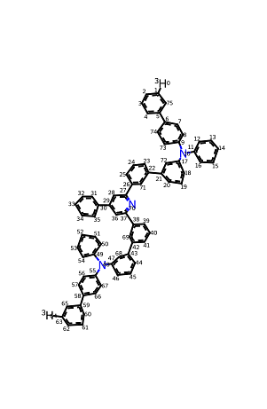 [3H]c1cccc(-c2ccc(N(c3ccccc3)c3cccc(-c4cccc(-c5cc(-c6ccccc6)cc(-c6cccc(-c7cccc(N(c8ccccc8)c8ccc(-c9cccc([3H])c9)cc8)c7)c6)n5)c4)c3)cc2)c1